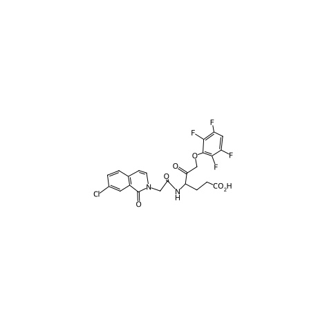 O=C(O)CCC(NC(=O)Cn1ccc2ccc(Cl)cc2c1=O)C(=O)COc1c(F)c(F)cc(F)c1F